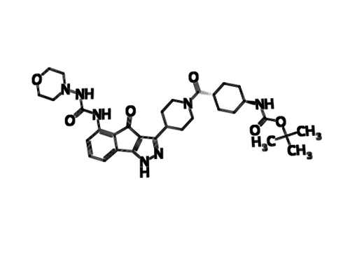 CC(C)(C)OC(=O)N[C@H]1CC[C@H](C(=O)N2CCC(c3n[nH]c4c3C(=O)c3c(NC(=O)NN5CCOCC5)cccc3-4)CC2)CC1